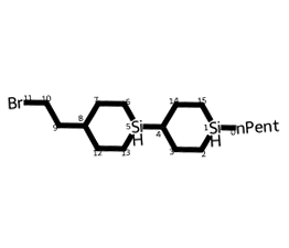 CCCCC[SiH]1CCC([SiH]2CCC(CCBr)CC2)CC1